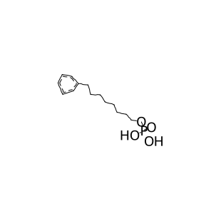 O=P(O)(O)OCCCCCCCCc1ccccc1